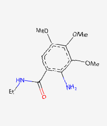 CCNC(=O)c1cc(OC)c(OC)c(OC)c1N